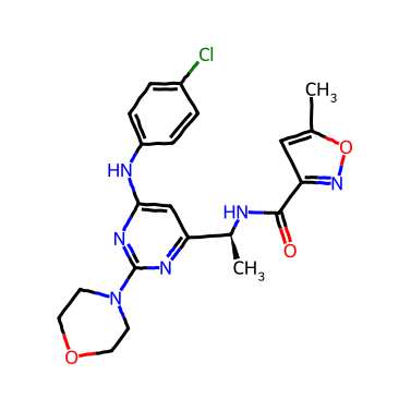 Cc1cc(C(=O)N[C@@H](C)c2cc(Nc3ccc(Cl)cc3)nc(N3CCOCC3)n2)no1